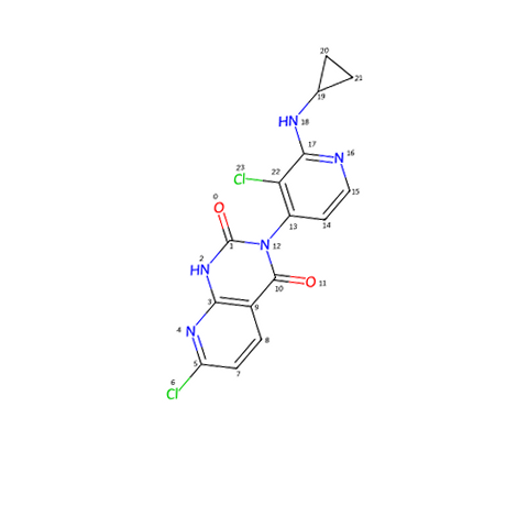 O=c1[nH]c2nc(Cl)ccc2c(=O)n1-c1ccnc(NC2CC2)c1Cl